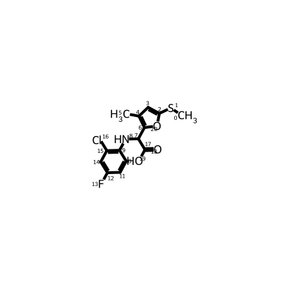 CSc1cc(C)c(C(Nc2ccc(F)cc2Cl)C(=O)O)o1